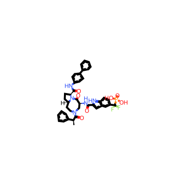 C[C@H](C(=O)N1CC[C@H]2CC[C@@H](C(=O)Nc3ccc(-c4ccccc4)cc3)N2C(=O)[C@@H](NC(=O)c2cc3cc(C(F)(F)P(=O)(O)O)ccc3[nH]2)C1)c1ccccc1